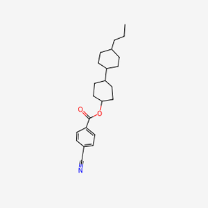 CCCC1CCC(C2CCC(OC(=O)c3ccc(C#N)cc3)CC2)CC1